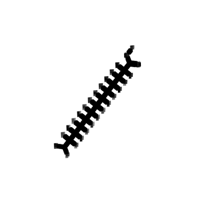 O=C(OF)C(F)(F)C(F)(F)C(F)(F)C(F)(F)C(F)(F)C(F)(F)C(F)(F)C(F)(F)C(F)(F)C(F)(F)C(F)(F)C(F)F